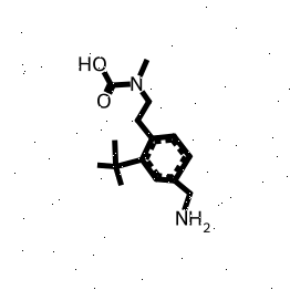 CN(CCc1ccc(CN)cc1C(C)(C)C)C(=O)O